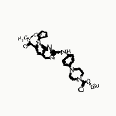 CN(C)C(=O)c1cc2cnc(Nc3ccc(N4CCN(C(=O)OC(C)(C)C)CC4)cc3)nc2n1C1CCCC1